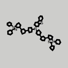 c1ccc(-c2nc3c(-c4cccc(-c5ccc(N(c6ccc(-c7cccc(-c8cccc9c8nc(-c8ccccc8)n9-c8ccccc8)c7)cc6)c6ccc7c(c6)sc6ccccc67)cc5)c4)cccc3n2-c2ccccc2)cc1